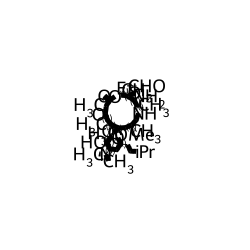 CC[C@H]1OC(=O)C(C)C(=O)[C@H](C)[C@@H](O[C@@H]2O[C@H](CCC(C)C)C[C@H](N(C)C)[C@H]2O)[C@](C)(OC)C[C@@H](C)CN[C@H](C)[C@@H](N)[C@]1(C)OC=O